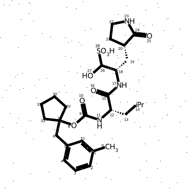 Cc1cccc(CC2(OC(=O)N[C@@H](CC(C)C)C(=O)N[C@@H](C[C@@H]3CCNC3=O)C(O)S(=O)(=O)O)CCCC2)c1